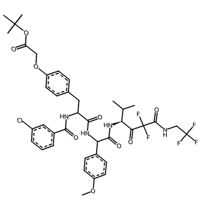 COc1ccc(C(NC(=O)C(Cc2ccc(OCC(=O)OC(C)(C)C)cc2)NC(=O)c2cccc(Cl)c2)C(=O)N[C@H](C(=O)C(F)(F)C(=O)NCC(F)(F)F)C(C)C)cc1